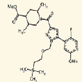 COC(=O)C1CC(C)N(C(=O)c2cc(-c3cc(OC)ncc3F)n(COCC[Si](C)(C)C)n2)CC1C